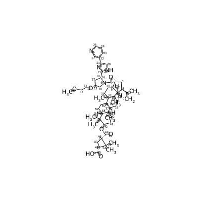 C=C(C)[C@@H]1CC[C@]2(C(=O)N3C[C@H](OCCOC)C[C@H]3c3nc(-c4cccnc4)c[nH]3)CC[C@]3(C)[C@H](CC[C@@H]4[C@@]5(C)CC[C@H](OC(=O)[C@H]6C[C@@H](C(=O)O)C6(C)C)C(C)(C)[C@@H]5CC[C@]43C)[C@@H]12